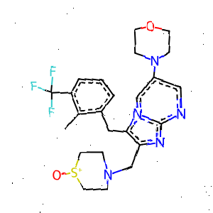 Cc1c(Cc2c(CN3CC[S+]([O-])CC3)nc3ncc(N4CCOCC4)cn23)cccc1C(F)(F)F